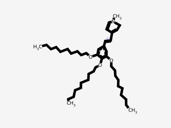 CCCCCCCCCCOc1cc(/C=C/C2=CCN(C)C=C2)cc(OCCCCCCCCCC)c1OCCCCCCCCCC